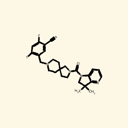 CC1(C)CN(C(=O)N2CCC3(CCN(Cc4cc(C#N)c(F)cc4F)CC3)C2)c2cccnc21